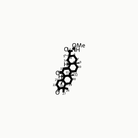 CONC(=O)[C@@]1(C)CC[C@]2(C)CC[C@]3(C)C(=CC(=O)[C@@H]4[C@@]5(C)CCC(=O)C(C)(C)C5CC[C@]43C)[C@@H]2C1